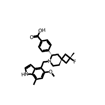 COc1cc(C)c2[nH]ccc2c1CN1CC[C@]2(C[C@H]1c1ccc(C(=O)O)cc1)C[C@@](C)(F)C2